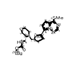 CSc1ncnn2c([C@H]3CC[C@@H](CN4CCOC[C@H]4CNC(=O)OC(C)(C)C)O3)ccc12